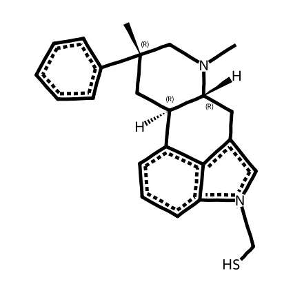 CN1C[C@@](C)(c2ccccc2)C[C@@H]2c3cccc4c3c(cn4CS)C[C@H]21